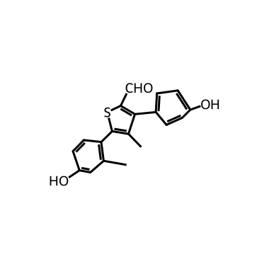 Cc1cc(O)ccc1-c1sc(C=O)c(-c2ccc(O)cc2)c1C